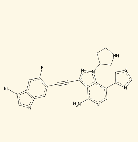 CCn1cnc2cc(C#Cc3nn(C4CCNC4)c4c(-c5cscn5)cnc(N)c34)c(F)cc21